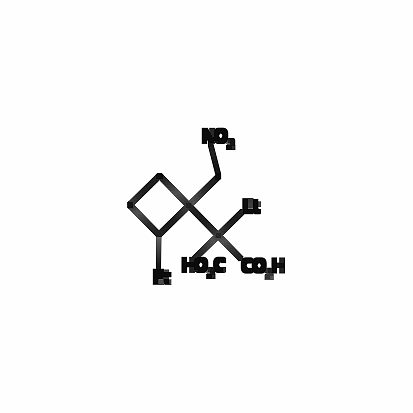 CCC1CCC1(C[N+](=O)[O-])C(CC)(C(=O)O)C(=O)O